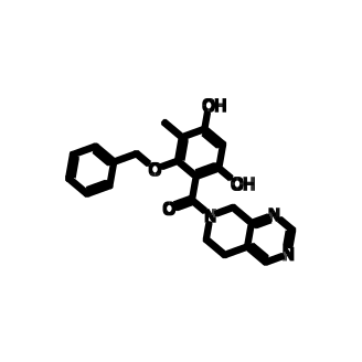 Cc1c(O)cc(O)c(C(=O)N2CCc3cncnc3C2)c1OCc1ccccc1